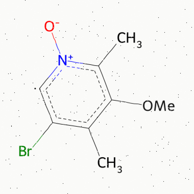 COc1c(C)c(Br)[c][n+]([O-])c1C